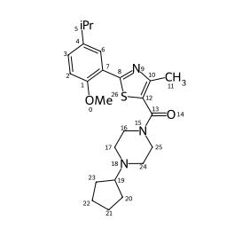 COc1ccc(C(C)C)cc1-c1nc(C)c(C(=O)N2CCN(C3CCCC3)CC2)s1